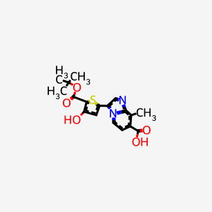 Cc1c(C(=O)O)ccn2c(-c3cc(O)c(C(=O)OC(C)(C)C)s3)cnc12